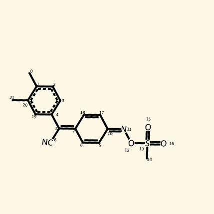 Cc1ccc(C(C#N)=C2C=CC(=NOS(C)(=O)=O)C=C2)cc1C